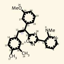 CNc1ncccc1-c1noc(/C(=C\c2ccc(C)c(C)c2)c2cccc(OC)c2)n1